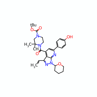 C=Cc1nn(C2CCCCO2)c2nc(-c3ccc(O)cc3)cc(C(=O)N3CCN(C(=O)OC(C)(C)C)CC3(C)C)c12